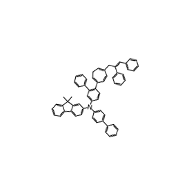 CC1(C)c2ccccc2-c2ccc(N(c3ccc(-c4ccccc4)cc3)c3ccc(C4=CCC=C(C/C(=C/c5ccccc5)c5ccccc5)C=C4)c(-c4ccccc4)c3)cc21